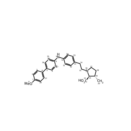 COc1ccc(-c2cnc(Nc3ccc(CCN4CC[C@H](C)[C@H]4C(=O)O)cc3)nc2)cc1